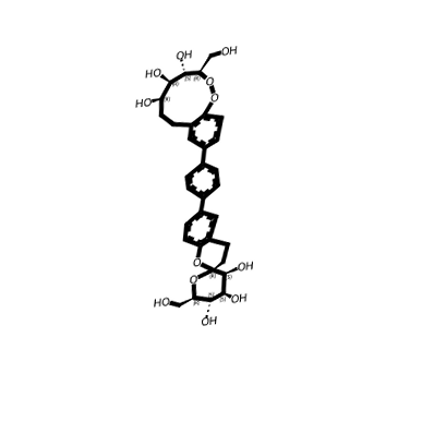 OC[C@H]1OOc2ccc(-c3ccc(-c4ccc5c(c4)CC[C@]4(O5)O[C@H](CO)[C@@H](O)[C@H](O)[C@@H]4O)cc3)cc2CC[C@@H](O)[C@@H](O)[C@@H]1O